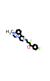 CN1CCN2c3c(cccc31)C1CN(CCC(F)C(=O)c3ccc(F)cc3)CCC12